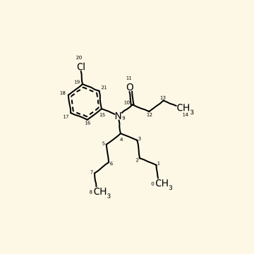 CCCCC(CCCC)N(C(=O)CCC)c1cccc(Cl)c1